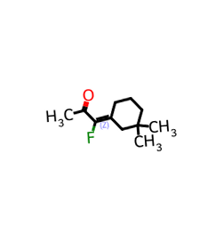 CC(=O)/C(F)=C1\CCCC(C)(C)C1